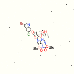 CC(C)(C)OC(=O)N(C(=O)OC(C)(C)C)c1ncnc2c1ccn2C1OC(COc2cc3ncc(Br)cc3cc2Cl)CC1OC(C)(C)O